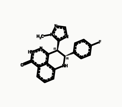 Cn1ncnc1[C@@H]1c2n[nH]c(=O)c3cccc(c23)N[C@H]1c1ccc(F)cc1